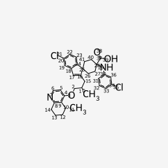 C[C@@H](COc1ccnc2c1[C@H](C)CCC2)CC1=Cc2cc(Cl)ccc2C12CCC(Nc1cccc(Cl)c1)(C(=O)O)CC2